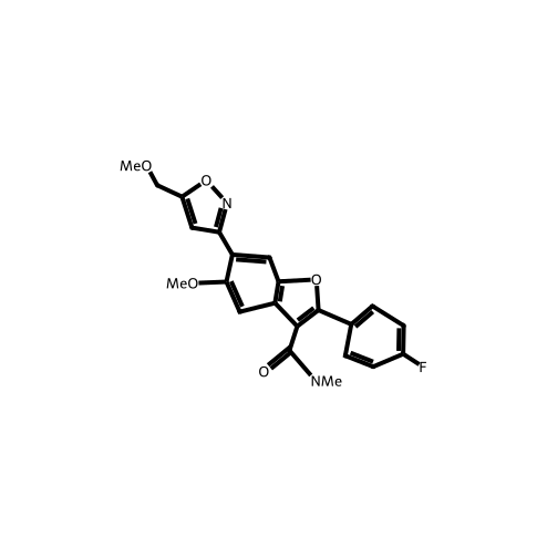 CNC(=O)c1c(-c2ccc(F)cc2)oc2cc(-c3cc(COC)on3)c(OC)cc12